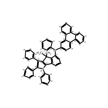 CC1(C)c2c(cccc2N(c2ccccc2)c2ccc3c4ccccc4c4ccccc4c3c2)-c2c1c(-c1ccccc1)c(-c1ccccc1)n2-c1ccccc1